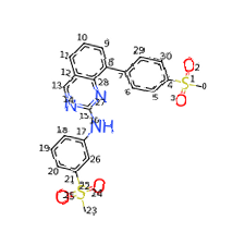 CS(=O)(=O)c1ccc(-c2cccc3cnc(Nc4cccc(S(C)(=O)=O)c4)nc23)cc1